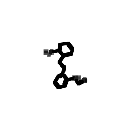 Cc1ccccc1CCc1ccccc1NC=O